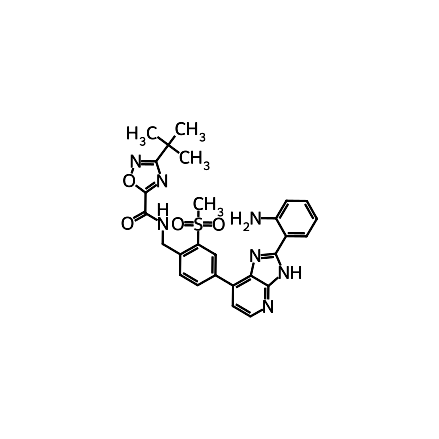 CC(C)(C)c1noc(C(=O)NCc2ccc(-c3ccnc4[nH]c(-c5ccccc5N)nc34)cc2S(C)(=O)=O)n1